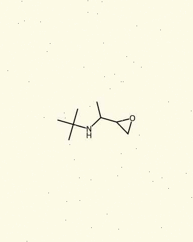 CC(NC(C)(C)C)C1CO1